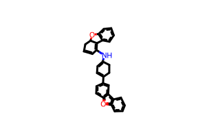 C1=CC(NC2=CC=C(c3ccc4oc5ccccc5c4c3)CC2)=C2c3ccccc3OC2C1